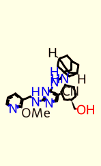 COc1ncccc1CNc1ncc(C#N)c(NC[C@]23CC4C[C@H](C2)C(N[C@H]2CC[C@H](CO)CC2)[C@@H](C4)C3)n1